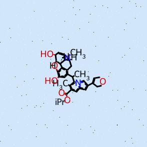 Cc1c(C(=O)OC(C)C)cc2cc(C3=CCOCC3)cn2c1C(C)c1cc(O)c2c3c1C[C@@H]1[C@@H]4C=C[C@H](O)[C@H](O2)[C@]34CCN1C